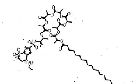 CCCCCCCCCCCCCCCCCC(=O)OC(C)C(=O)OC(C)C(=O)OC(C)C(=O)OC(C)C(=O)OC(C)C(=O)OC(C)C(=O)OC(C)C(=O)NS(=O)(=O)c1cc2c(s1)S(=O)(=O)[C@@H](C)C[C@@H]2NCC